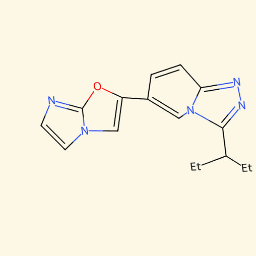 CCC(CC)c1nnc2ccc(-c3cn4ccnc4o3)cn12